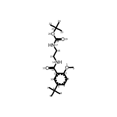 COc1ccc(C(C)(C)C)cc1C(=O)NCCNC(=O)OC(C)(C)C